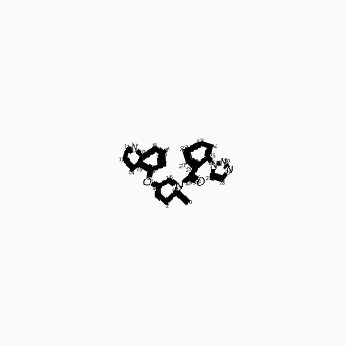 CC1CCC(Oc2cccc3ncccc23)CN1C(=O)c1ccccc1-n1ccnn1